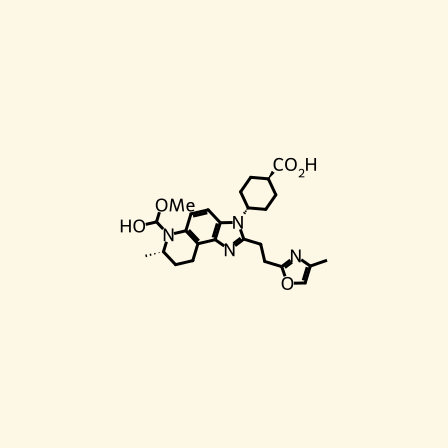 COC(O)N1c2ccc3c(nc(CCc4nc(C)co4)n3[C@H]3CC[C@H](C(=O)O)CC3)c2CC[C@@H]1C